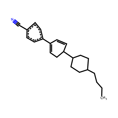 CCCCC1CCC(C2C=CC(c3ccc(C#N)cc3)=CC2)CC1